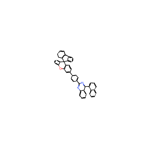 C1=CC2=C(CC1)C1(c3ccccc3Oc3cc(-c4ccc(-c5nc(-c6cccc7ccccc67)c6ccccc6n5)cc4)ccc31)c1ccccc12